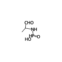 CC(C=O)N[PH](=O)O